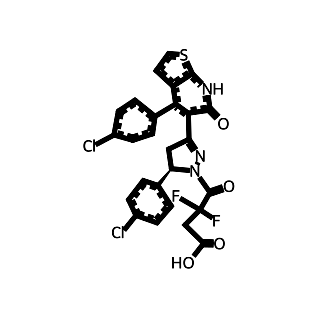 O=C(O)CC(F)(F)C(=O)N1N=C(c2c(-c3ccc(Cl)cc3)c3ccsc3[nH]c2=O)C[C@@H]1c1ccc(Cl)cc1